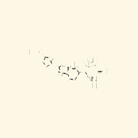 Cc1ccc(-c2nc3ccc(C4=NNC(=O)CC4(C)C)cc3o2)s1